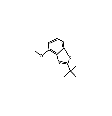 COc1cccc2sc(C(C)(C)C)nc12